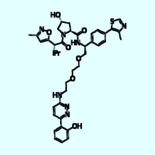 Cc1cc([C@H](C(=O)N2C[C@H](O)C[C@H]2C(=O)N[C@H](COCCOCCNc2ccc(-c3ccccc3O)nn2)c2ccc(-c3scnc3C)cc2)C(C)C)on1